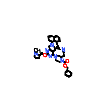 CN1CCCC1COc1nc2c(c(N3CCN(C(=O)OCc4ccccc4)C(CC#N)C3)n1)CCN(c1cccc3cccc(C4CC4)c13)C2